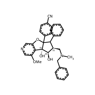 COc1cncc2c1[C@]1(O)[C@H](O)[C@H](CN(C)Cc3ccccc3)C(c3ccccc3)C1(c1ccc(C#N)cc1)O2